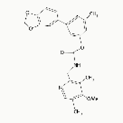 COc1c(C)cnc(CNC(=O)Oc2cc(C)cc(-c3ccc4c(c3)OCO4)c2)c1C